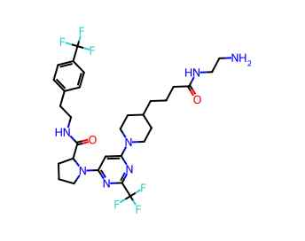 NCCNC(=O)CCCC1CCN(c2cc(N3CCCC3C(=O)NCCc3ccc(C(F)(F)F)cc3)nc(C(F)(F)F)n2)CC1